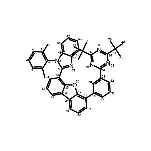 Cc1cccc(C)c1-n1c(-c2cccc3c2oc2c(-c4cccc(-c5nc(C(C)(C)C)nc(C(C)(C)C)n5)c4)cccc23)nc2ccccc21